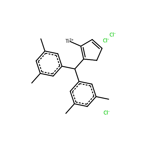 Cc1cc(C)cc(C(C2=[C]([Ti+3])C=CC2)c2cc(C)cc(C)c2)c1.[Cl-].[Cl-].[Cl-]